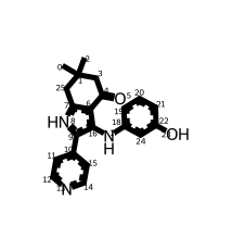 CC1(C)CC(=O)c2c([nH]c(-c3ccncc3)c2Nc2cccc(O)c2)C1